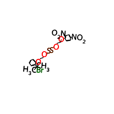 CC(C)(Br)c1ccccc1OCCOCSSCOCCOc1ccc([N+](=O)[O-])cc1[N+](=O)[O-]